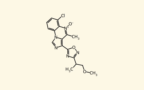 COCC(C)c1noc(-c2ncn3c2c(C)[n+]([O-])c2c(Cl)cccc23)n1